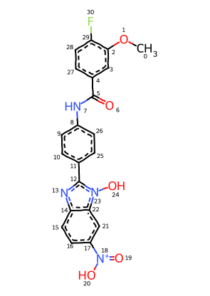 COc1cc(C(=O)Nc2ccc(-c3nc4ccc([N+](=O)O)cc4n3O)cc2)ccc1F